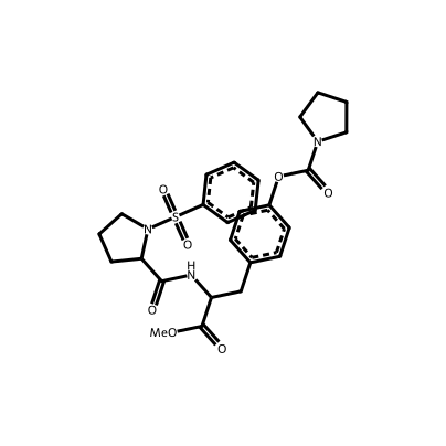 COC(=O)C(Cc1ccc(OC(=O)N2CCCC2)cc1)NC(=O)C1CCCN1S(=O)(=O)c1ccccc1